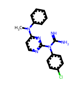 CN(c1ccccc1)c1ccnc(N(C(=N)N)c2ccc(Cl)cc2)n1